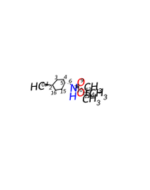 C#C[C@H]1CC[C@H](CNC(=O)OC(C)(C)C)CC1